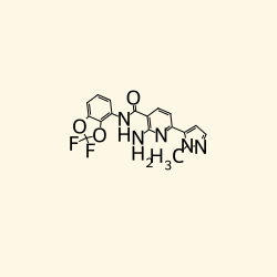 Cn1nccc1-c1ccc(C(=O)Nc2cccc3c2OC(F)(F)O3)c(N)n1